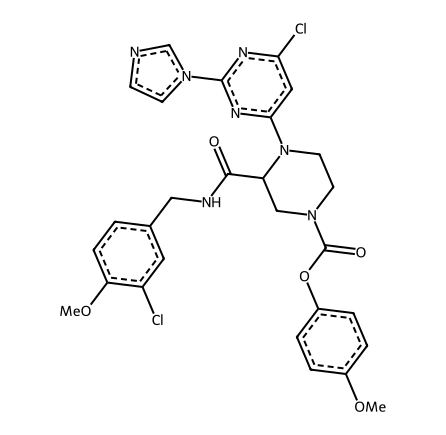 COc1ccc(OC(=O)N2CCN(c3cc(Cl)nc(-n4ccnc4)n3)C(C(=O)NCc3ccc(OC)c(Cl)c3)C2)cc1